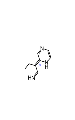 CC/C(C=N)=C1\C=NC=CN1